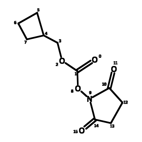 O=C(OCC1CCC1)ON1C(=O)CCC1=O